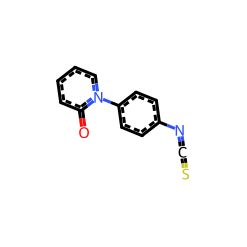 O=c1ccccn1-c1ccc(N=C=S)cc1